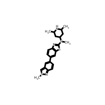 CC1CC(N(C)c2nc3ccc(-c4ccc5nn(C)cc5c4)cc3s2)CC(C)N1